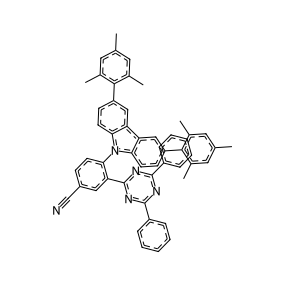 Cc1cc(C)c(-c2ccc3c(c2)c2cc(-c4c(C)cc(C)cc4C)ccc2n3-c2ccc(C#N)cc2-c2nc(-c3ccccc3)nc(-c3ccccc3)n2)c(C)c1